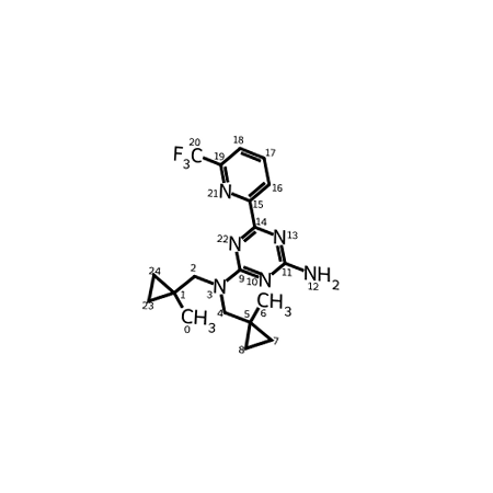 CC1(CN(CC2(C)CC2)c2nc(N)nc(-c3cccc(C(F)(F)F)n3)n2)CC1